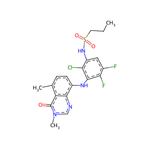 CCCS(=O)(=O)Nc1cc(F)c(F)c(Nc2ccc(C)c3c(=O)n(C)cnc23)c1Cl